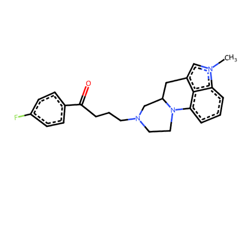 Cn1cc2c3c(cccc31)N1CCN(CCCC(=O)c3ccc(F)cc3)CC1C2